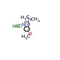 COc1ccc2c(c1)CC(N(C)C)CN2.Cl.Cl